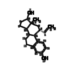 C=C[C@H]1CC2(C)C(O)CCC2C2CCc3cc(O)ccc3C21